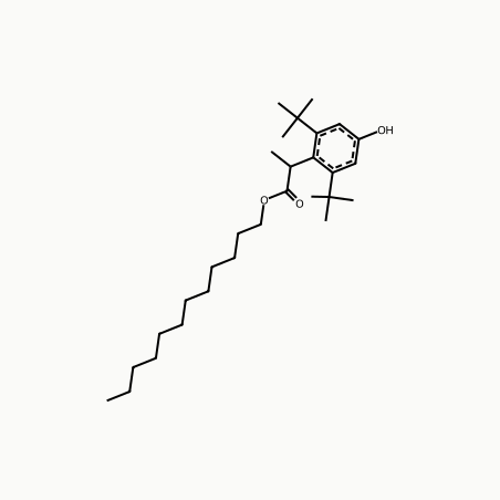 CCCCCCCCCCCCOC(=O)C(C)c1c(C(C)(C)C)cc(O)cc1C(C)(C)C